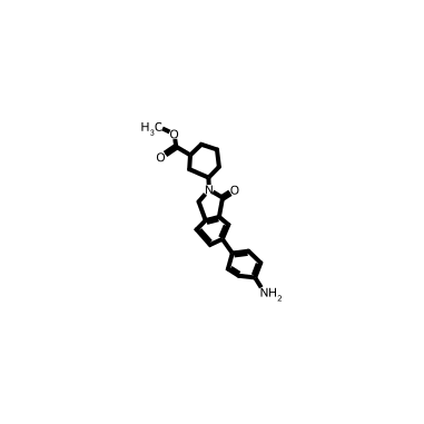 COC(=O)C1CCCC(N2Cc3ccc(-c4ccc(N)cc4)cc3C2=O)C1